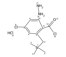 C[Si](C)(C)Cc1cc(Cl)ccc1C(=O)Cl.Cl.NN